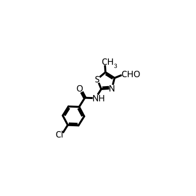 Cc1sc(NC(=O)c2ccc(Cl)cc2)nc1C=O